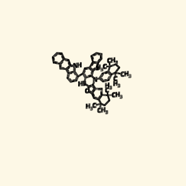 CC1(C)CCC(C)(C)c2cc(N3c4c(oc5cc6c(cc45)C(C)(C)CCC6(C)C)Bc4c(-c5cccc6c5[nH]c5cc7ccccc7cc56)cc5c(sc6ccccc65)c43)ccc21